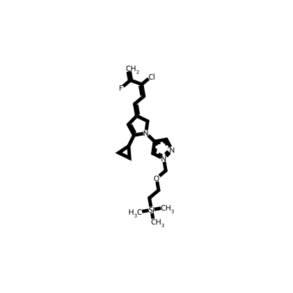 C=C(F)/C(Cl)=C\C=C1\C=C(C2CC2)N(c2cnn(COCC[Si](C)(C)C)c2)C1